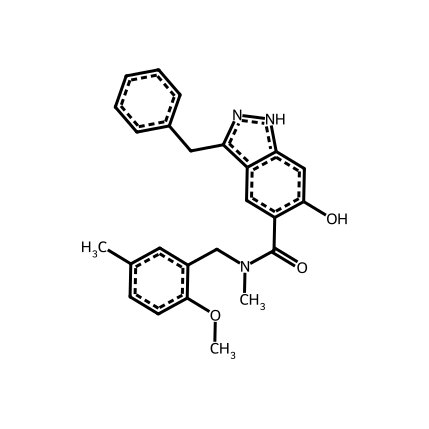 COc1ccc(C)cc1CN(C)C(=O)c1cc2c(Cc3ccccc3)n[nH]c2cc1O